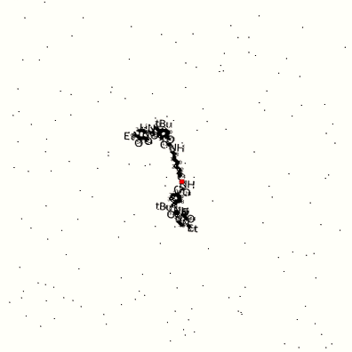 CCN1CCN(C(=O)NC(c2ccc(OC(=O)NCCCCCCCCCNC(=O)Oc3ccc(C(NC(=O)N4CCN(CC)C(=O)C4=O)C(C)(C)C)cc3)cc2)C(C)(C)C)C(=O)C1=O